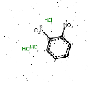 Cl.Cl.Cl.O=[N+]([O-])c1ccccc1[N+](=O)[O-]